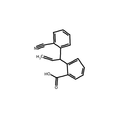 C=CC(c1ccccc1C#N)c1ccccc1C(=O)O